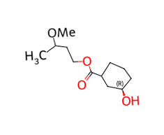 COC(C)CCOC(=O)C1CCC[C@@H](O)C1